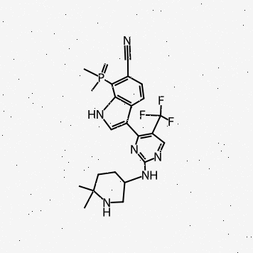 C=P(C)(C)c1c(C#N)ccc2c(-c3nc(NC4CCC(C)(C)NC4)ncc3C(F)(F)F)c[nH]c12